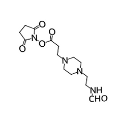 O=CNCCN1CCN(CCC(=O)ON2C(=O)CCC2=O)CC1